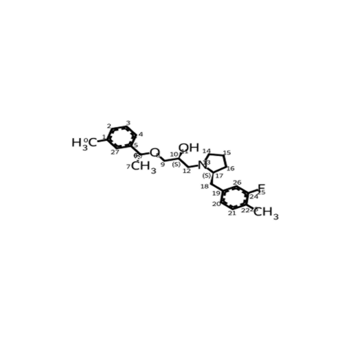 Cc1cc[c]c([C@@H](C)OC[C@@H](O)CN2CCC[C@H]2Cc2ccc(C)c(F)c2)c1